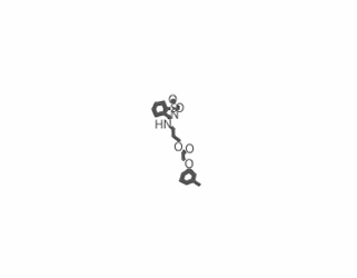 Cc1cccc(OCC(=O)OCCCNC2=NS(=O)(=O)c3ccccc32)c1